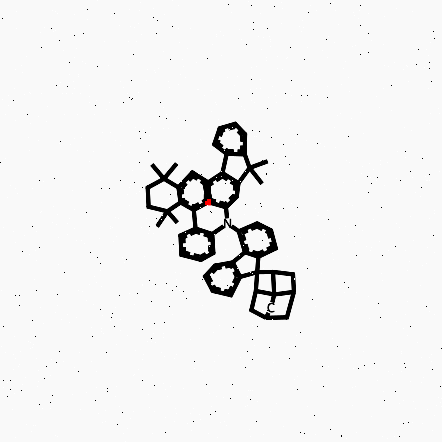 CC1(C)CCC(C)(C)c2c(-c3ccccc3N(c3ccc4c(c3)C(C)(C)c3ccccc3-4)c3cccc4c3-c3ccccc3C43C4CC5CC6CC3C64C5)cccc21